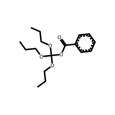 CCCOC(OCCC)(OCCC)OC(=O)c1ccccc1